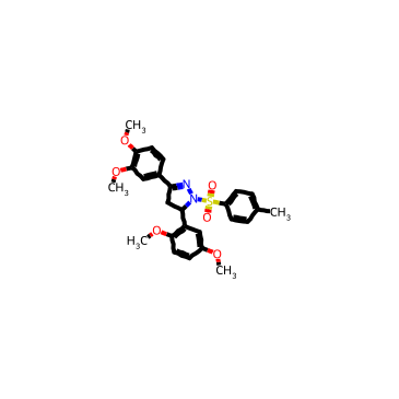 COc1ccc(OC)c(C2CC(c3ccc(OC)c(OC)c3)=NN2S(=O)(=O)c2ccc(C)cc2)c1